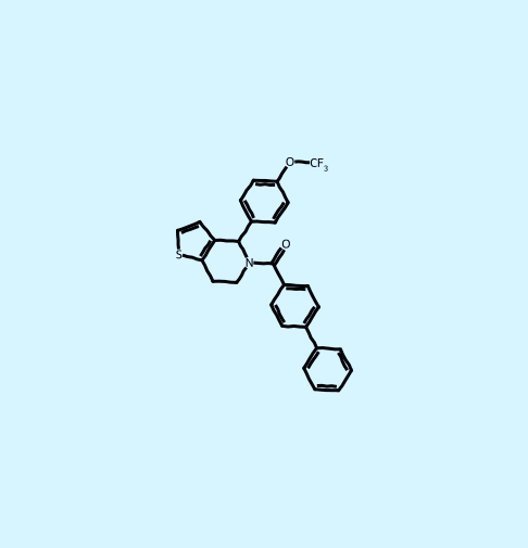 O=C(c1ccc(-c2ccccc2)cc1)N1CCc2sccc2C1c1ccc(OC(F)(F)F)cc1